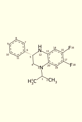 CC(C)N1C[C@H](c2ccccc2)Nc2cc(F)c(F)cc21